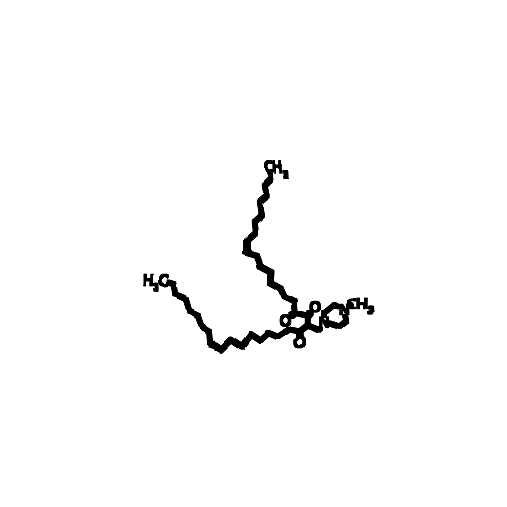 CCCCCCCC/C=C\CCCCCCCC(=O)C(=O)C(CN1CCN(C)CC1)C(=O)CCCCCCC/C=C\CCCCCCCC